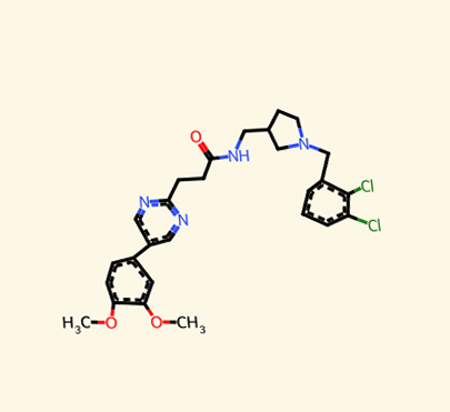 COc1ccc(-c2cnc(CCC(=O)NCC3CCN(Cc4cccc(Cl)c4Cl)C3)nc2)cc1OC